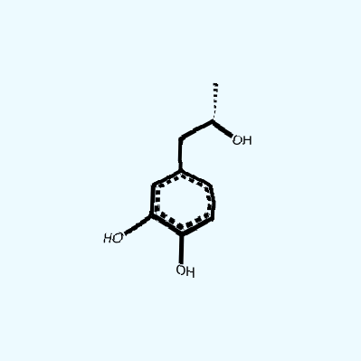 C[C@H](O)Cc1ccc(O)c(O)c1